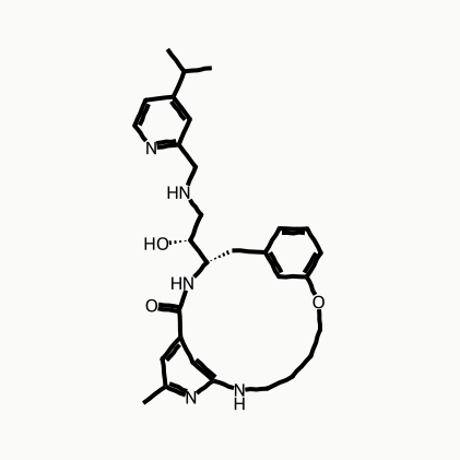 Cc1cc2cc(n1)NCCCCOc1cccc(c1)C[C@@H]([C@H](O)CNCc1cc(C(C)C)ccn1)NC2=O